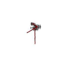 CCCCCCCCCCCCCCCCCCCCCCCCCCN[C@@H](CO[C@@H]1O[C@H](COC(=S)Nc2cccc([N+](=O)[O-])c2)[C@H](O)[C@H](O)[C@H]1O)[C@H](O)[C@H](O)CCCCCCCCCCCCCC